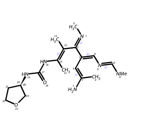 C/N=C(C(/C=C(\C)N)=C/N=C/NC)\C(C)=C(/C)NC(=O)N[C@@H]1CCOC1